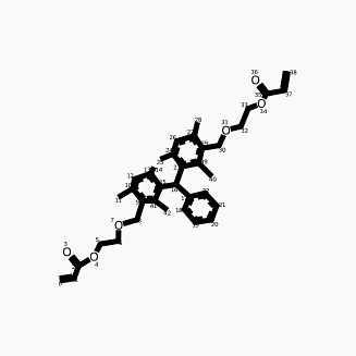 C=CC(=O)OCCOCc1c(C)cc(C)c(C(c2ccccc2)c2c(C)cc(C)c(COCCOC(=O)C=C)c2C)c1C